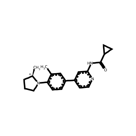 Cc1cc(-c2ccnc(NC(=O)C3CC3)c2)ccc1N1CCC[C@H]1C